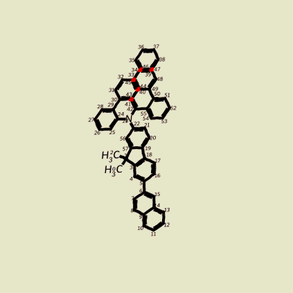 CC1(C)c2cc(-c3ccc4ccccc4c3)ccc2-c2ccc(N(c3ccccc3-c3ccc(-c4ccccc4)cc3)c3cc4ccccc4c4ccccc34)cc21